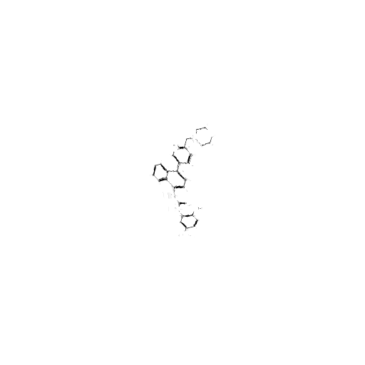 CCOc1ccc(C(C)(C)C)cc1NC(=O)Nc1ccc(-c2ccc(CN3CCOCC3)nc2)c2ccccc12